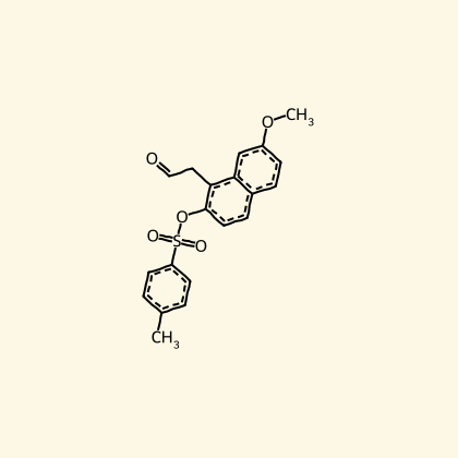 COc1ccc2ccc(OS(=O)(=O)c3ccc(C)cc3)c(CC=O)c2c1